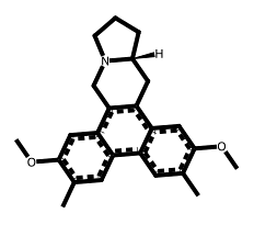 COc1cc2c3c(c4cc(OC)c(C)cc4c2cc1C)CN1CCC[C@@H]1C3